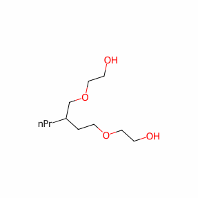 CCCC(CCOCCO)COCCO